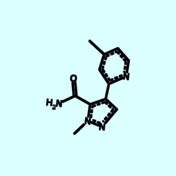 Cc1ccnc(-c2cnn(C)c2C(N)=O)c1